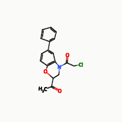 CC(=O)C1CN(C(=O)CCl)c2cc(-c3ccccc3)ccc2O1